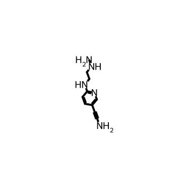 NC#Cc1ccc(NCCNN)nc1